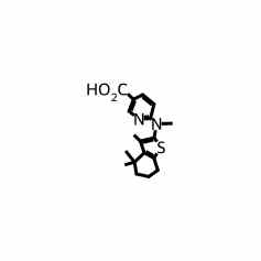 Cc1c(N(C)c2ccc(C(=O)O)cn2)sc2c1C(C)(C)CCC2